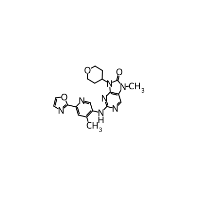 Cc1cc(-c2ncco2)ncc1Nc1ncc2c(n1)n(C1CCOCC1)c(=O)n2C